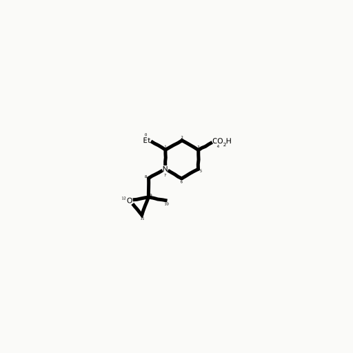 CCC1CC(C(=O)O)CCN1CC1(C)CO1